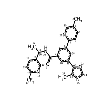 Cc1ccc(-c2cc(C(=O)N[C@H](C)c3ccc(C(F)(F)F)nc3)cc(-c3ocnc3C)c2)nc1